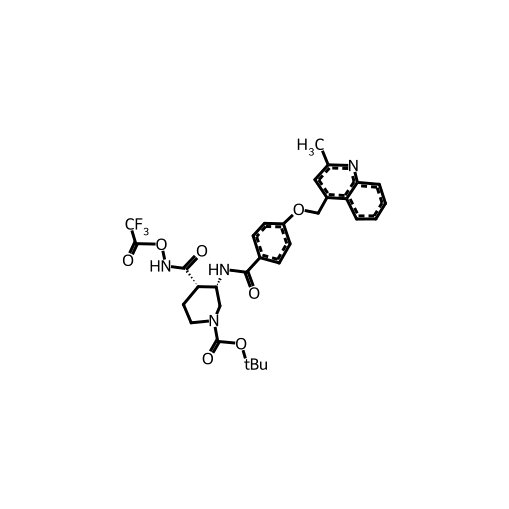 Cc1cc(COc2ccc(C(=O)N[C@@H]3CN(C(=O)OC(C)(C)C)CC[C@@H]3C(=O)NOC(=O)C(F)(F)F)cc2)c2ccccc2n1